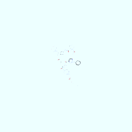 CCOC(=O)ON1CCN(C(=O)[C@H](CCC(=O)OCCN2CCOCC2)NC(=O)c2cc(OCC(=O)N3CCC[C@H]3C(=O)NC3CCC3)n(-c3ccccc3)n2)CC1